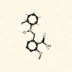 COc1cccc(C[S+]([O-])c2ccccc2C)c1C(=O)O